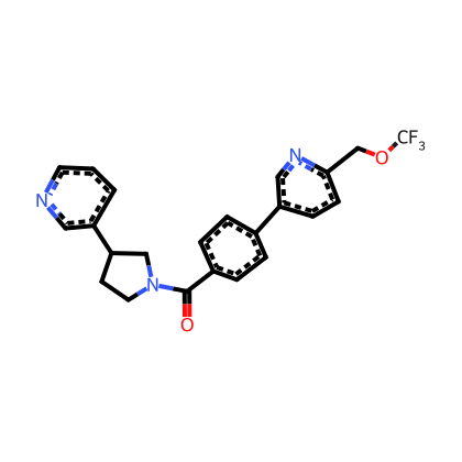 O=C(c1ccc(-c2ccc(COC(F)(F)F)nc2)cc1)N1CCC(c2cccnc2)C1